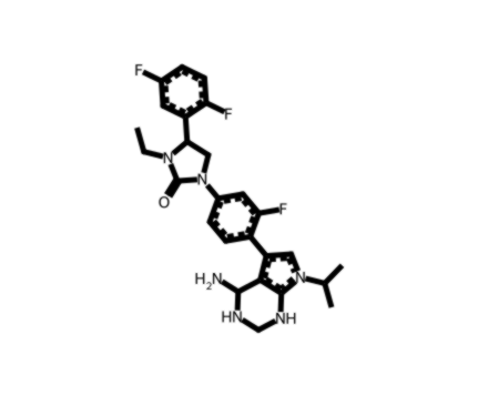 CCN1C(=O)N(c2ccc(-c3cn(C(C)C)c4c3C(N)NCN4)c(F)c2)CC1c1cc(F)ccc1F